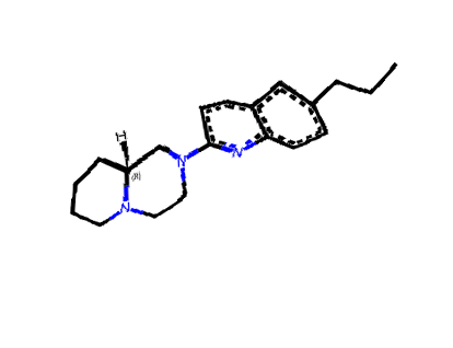 CCCc1ccc2nc(N3CCN4CCCC[C@@H]4C3)ccc2c1